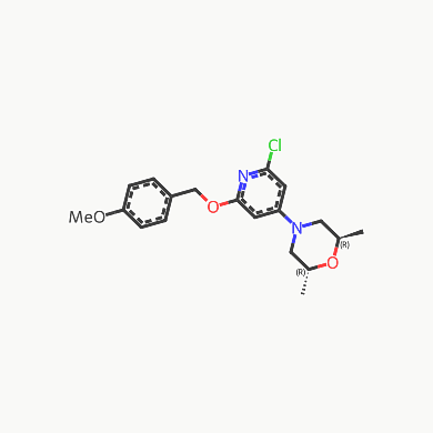 COc1ccc(COc2cc(N3C[C@@H](C)O[C@H](C)C3)cc(Cl)n2)cc1